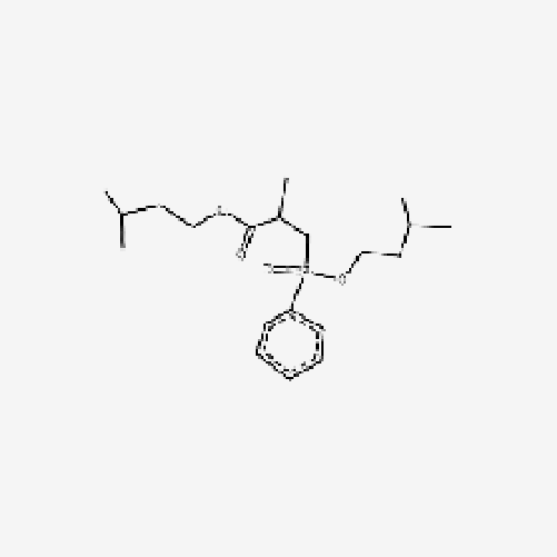 CC(C)CCOC(=O)C(C)CP(=O)(OCCC(C)C)c1ccccc1